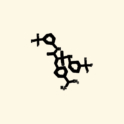 CC(C)c1ccc(C=C(C(=O)Nc2cccc(C(F)(F)F)c2)S(=O)(=O)Nc2cccc(C(F)(F)F)c2)cc1